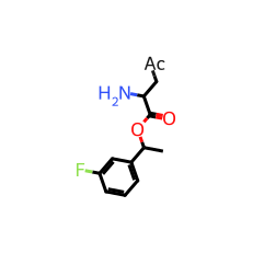 CC(=O)CC(N)C(=O)OC(C)c1cccc(F)c1